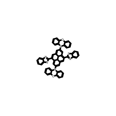 C1=C(c2nc3ccccc3s2)C2=CC(N3c4ccccc4Oc4ccccc43)=CC3=CC(c4nc5ccccc5s4)=C4C=C(N5c6ccccc6Oc6ccccc65)C=C1C4C32